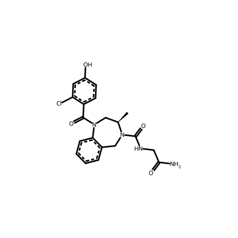 C[C@@H]1CN(C(=O)c2ccc(O)cc2Cl)c2ccccc2CN1C(=O)NCC(N)=O